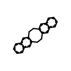 c1ccc2cc3c(cc2c1)CCc1cc2ccccc2cc1CC3